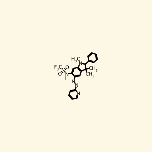 CN1c2cc(NS(=O)(=O)C(F)(F)F)c(N=Nc3ccccn3)cc2C(C)(C)C1c1ccccc1